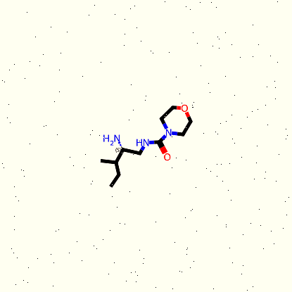 CCC(C)[C@H](N)CNC(=O)N1CCOCC1